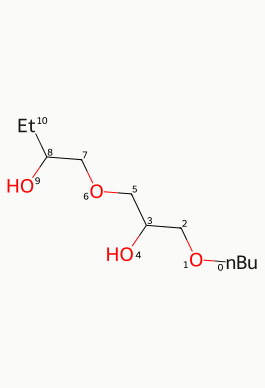 CCCCOCC(O)COCC(O)CC